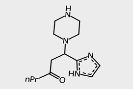 CCCC(=O)CC(c1ncc[nH]1)N1CCNCC1